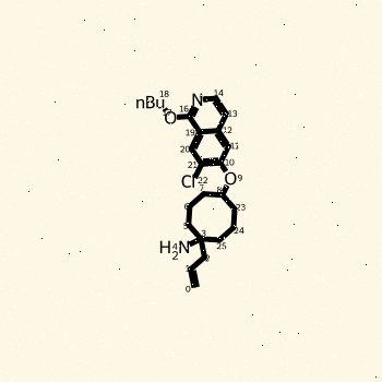 C=CCC1(N)CCCC(Oc2cc3ccnc(OCCCC)c3cc2Cl)CCC1